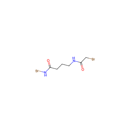 O=C(CCCNC(=O)CBr)NBr